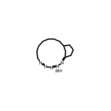 C1CCCN=NN=NN=C2CCCC(CCC1)C2.[Mn]